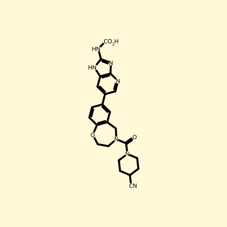 N#CC1CCN(C(=O)N2CCOc3ccc(-c4cnc5nc(NC(=O)O)[nH]c5c4)cc3C2)CC1